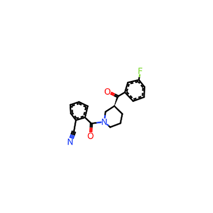 N#Cc1ccccc1C(=O)N1CCC[C@H](C(=O)c2cccc(F)c2)C1